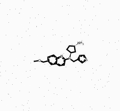 COCc1ccc2nc(N(Cc3ccsc3)[C@H]3CC[C@H](N)C3)ccc2c1